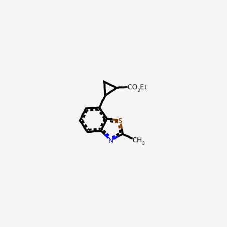 CCOC(=O)C1CC1c1cccc2nc(C)sc12